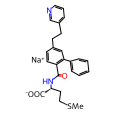 CSCC[C@H](NC(=O)c1ccc(CCc2cccnc2)cc1-c1ccccc1)C(=O)[O-].[Na+]